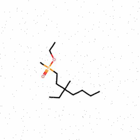 CCCCC(C)(CC)CCP(C)(=O)OCC